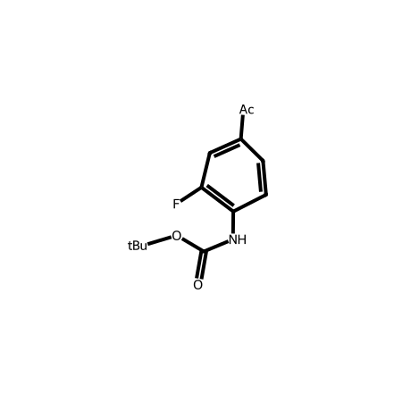 CC(=O)c1ccc(NC(=O)OC(C)(C)C)c(F)c1